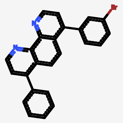 Brc1cccc(-c2ccnc3c2ccc2c(-c4ccccc4)ccnc23)c1